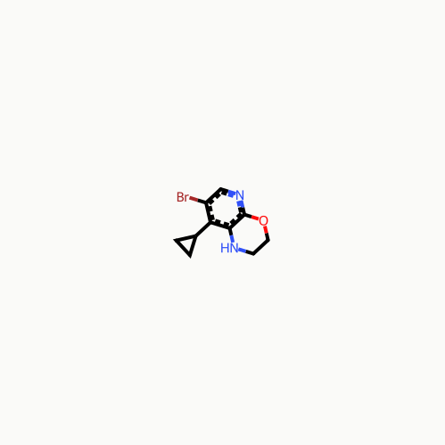 Brc1cnc2c(c1C1CC1)NCCO2